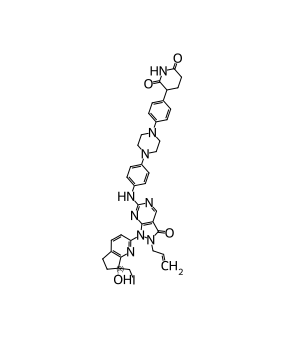 C=CCn1c(=O)c2cnc(Nc3ccc(N4CCN(c5ccc(C6CCC(=O)NC6=O)cc5)CC4)cc3)nc2n1-c1ccc2c(n1)[C@@](O)(CI)CC2